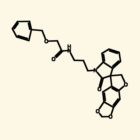 O=C(COCc1ccccc1)NCCCN1C(=O)C2(COc3cc4c(cc32)OCO4)c2ccccc21